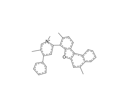 Cc1c[n+](C)c(-c2c(C)ccc3c2oc2cc(C)c4ccccc4c23)cc1-c1ccccc1